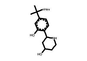 CCCCCCC(C)(C)c1ccc(C2CC(O)CCN2)c(O)c1